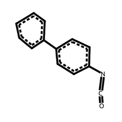 O=C=Nc1ccc(-c2ccccc2)cc1